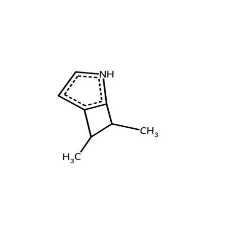 CC1c2cc[nH]c2C1C